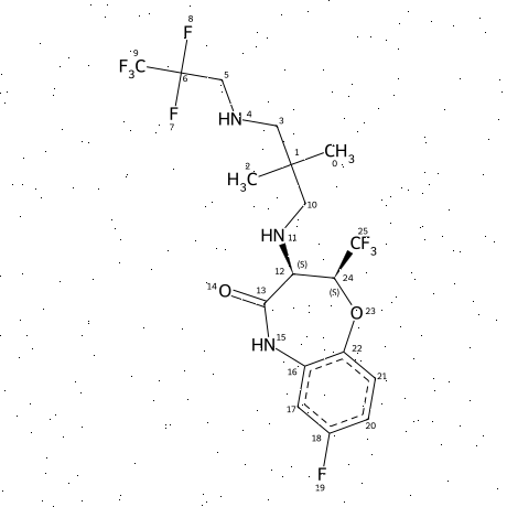 CC(C)(CNCC(F)(F)C(F)(F)F)CN[C@@H]1C(=O)Nc2cc(F)ccc2O[C@@H]1C(F)(F)F